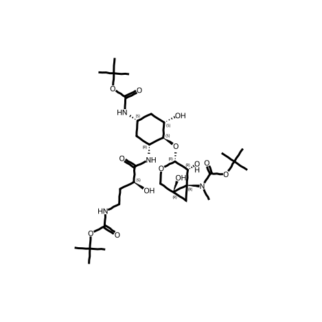 CN(C(=O)OC(C)(C)C)[C@@]12C[C@]1(O)CO[C@H](O[C@@H]1[C@@H](O)C[C@@H](NC(=O)OC(C)(C)C)C[C@H]1NC(=O)[C@@H](O)CCNC(=O)OC(C)(C)C)[C@@H]2O